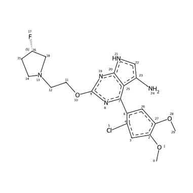 COc1cc(Cl)c(-c2nc(OCCN3CC[C@H](F)C3)nc3[nH]cc(N)c23)cc1OC